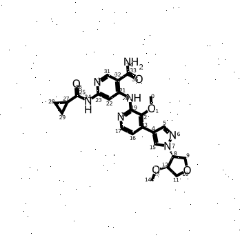 COc1c(-c2cnn([C@@H]3COC[C@H]3OC)c2)ccnc1Nc1cc(NC(=O)C2CC2)ncc1C(N)=O